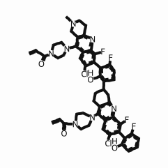 C=CC(=O)N1CCN(c2c3c(nc4c(F)c(-c5c(O)cccc5F)c(Cl)cc24)CC(c2ccc(F)c(-c4c(Cl)cc5c(N6CCN(C(=O)C=C)CC6)c6c(nc5c4F)CCN(C)C6)c2O)CC3)CC1